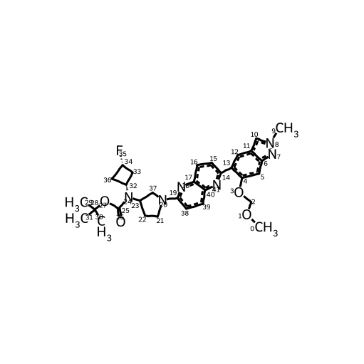 COCOc1cc2nn(C)cc2cc1-c1ccc2nc(N3CCC(N(C(=O)OC(C)(C)C)[C@H]4C[C@@H](F)C4)C3)ccc2n1